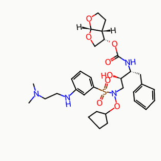 CN(C)CCNc1cccc(S(=O)(=O)N(C[C@@H](O)[C@@H](Cc2ccccc2)NC(=O)O[C@@H]2CO[C@@H]3OCC[C@@H]32)OC2CCCC2)c1